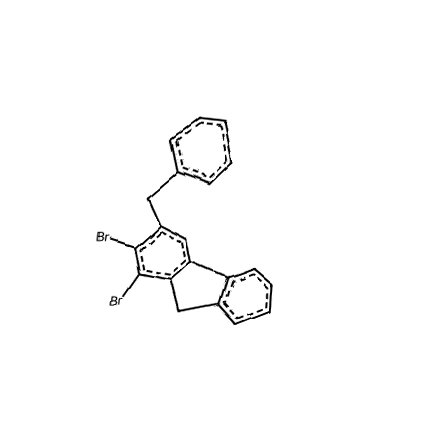 Brc1c(Cc2ccccc2)cc2c(c1Br)Cc1ccccc1-2